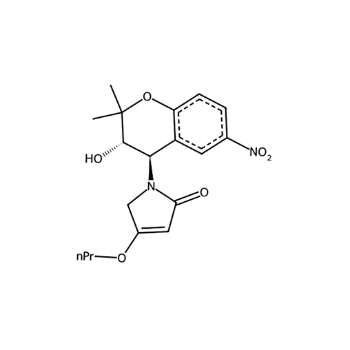 CCCOC1=CC(=O)N([C@@H]2c3cc([N+](=O)[O-])ccc3OC(C)(C)[C@H]2O)C1